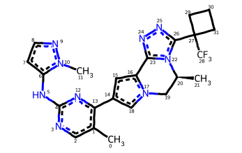 Cc1cnc(Nc2ccnn2C)nc1-c1cc2n(c1)C[C@H](C)n1c-2nnc1C1(C(F)(F)F)CCC1